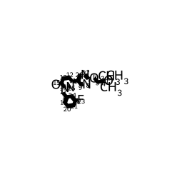 COC(C)(C)COc1ncc(-c2ccc(=O)n(Cc3cccc(F)c3)n2)cn1